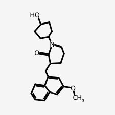 COc1cc(CC2CCCN(C3CCC(O)CC3)C2=O)c2ccccc2c1